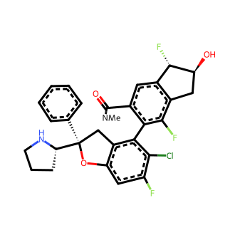 CNC(=O)c1cc2c(c(F)c1-c1c(Cl)c(F)cc3c1C[C@](c1ccccc1)([C@@H]1CCCN1)O3)C[C@H](O)[C@H]2F